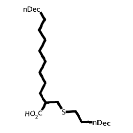 CCCCCCCCCCCCCCCCCCC(CSCCCCCCCCCCCC)C(=O)O